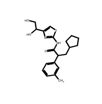 Cc1cccc(C(CC2CCCC2)C(=O)Nc2nc(C(O)CO)cs2)c1